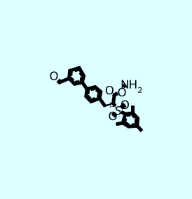 Cc1cc(C)c(S(=O)(=O)[C@@H](Cc2ccc(-c3cccc(C=O)c3)cc2)C(=O)ON)c(C)c1